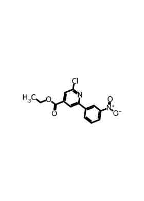 CCOC(=O)c1cc(Cl)nc(-c2cccc([N+](=O)[O-])c2)c1